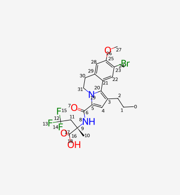 CCCc1cc(C(=O)N[C@@](C)(CC(F)(F)F)C(=O)O)n2c1-c1cc(Br)c(OC)cc1CC2